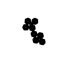 c1ccc(N2c3ccccc3-c3ccccc3-c3cc(-c4ccc(-c5cccc6c7ccccc7c7ccccc7c56)cc4)ccc32)cc1